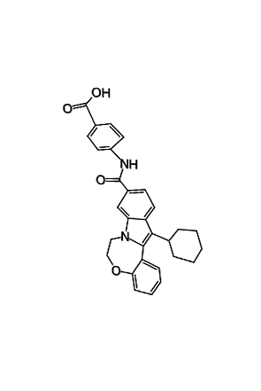 O=C(O)c1ccc(NC(=O)c2ccc3c(C4CCCCC4)c4n(c3c2)CCOc2ccccc2-4)cc1